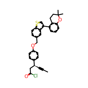 CC#C[C@@H](CC(=O)Cl)c1ccc(OCc2ccc3scc(-c4cccc5c4CCC(C)(C)O5)c3c2)cc1